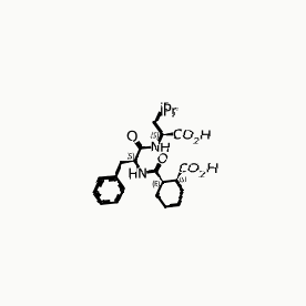 CC(C)C[C@H](NC(=O)[C@H](Cc1ccccc1)NC(=O)[C@@H]1CCCC[C@@H]1C(=O)O)C(=O)O